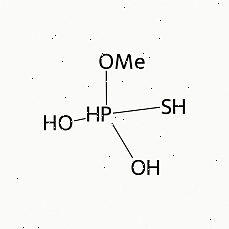 CO[PH](O)(O)S